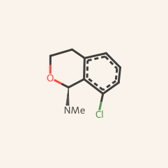 CN[C@H]1OCCc2cccc(Cl)c21